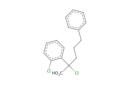 O=C(O)C(Cl)(CCCc1ccccc1)c1ccccc1Cl